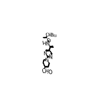 C=C(NOC(C)OCC(C)C)c1cnc(N2CCC(C=O)CC2)nc1